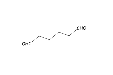 O=CC[C]CCC=O